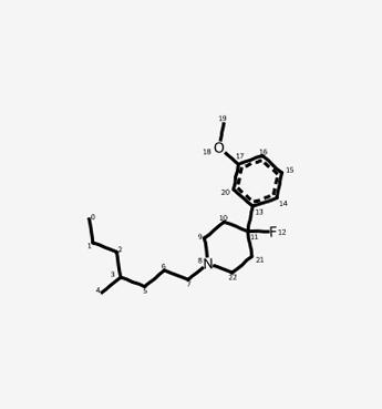 CCCC(C)CCCN1CCC(F)(c2cccc(OC)c2)CC1